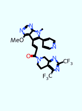 COc1ncnc2c1c(/C=C/C(=O)N1CCc3c(nc(C(F)(F)F)nc3C(F)(F)F)C1)c(-c1ccncc1)n2C